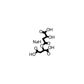 O=C(O)CC(OC(=O)CC(O)C(=O)O)C(=O)O.[NaH]